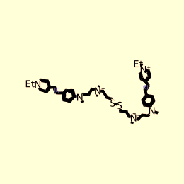 CCN1C=CC(/C=C/c2ccc(N(C)CCC[N+](C)(C)CCCSSCCC[N+](C)(C)CCCN(C)c3ccc(/C=C/c4cc[n+](CC)cc4)cc3)cc2)=CC1